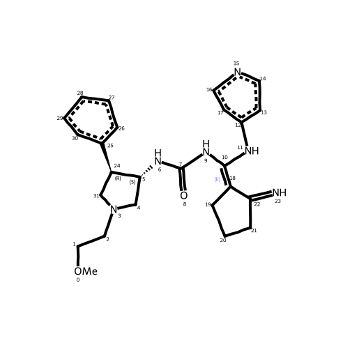 COCCN1C[C@@H](NC(=O)N/C(Nc2ccncc2)=C2\CCCC2=N)[C@H](c2ccccc2)C1